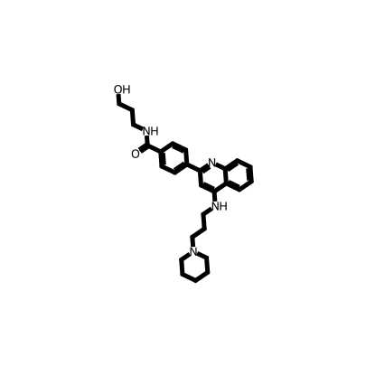 O=C(NCCCO)c1ccc(-c2cc(NCCCN3CCCCC3)c3ccccc3n2)cc1